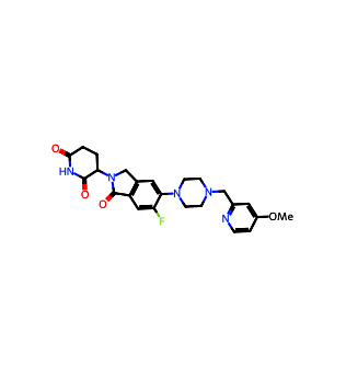 COc1ccnc(CN2CCN(c3cc4c(cc3F)C(=O)N(C3CCC(=O)NC3=O)C4)CC2)c1